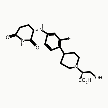 O=C1CC[C@H](Nc2ccc(C3CCN([C@@H](CO)C(=O)O)CC3)c(F)c2)C(=O)N1